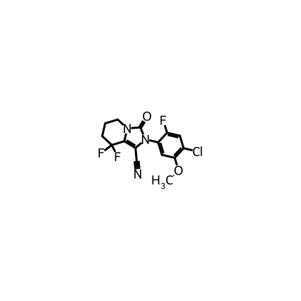 COc1cc(-n2c(C#N)c3n(c2=O)CCCC3(F)F)c(F)cc1Cl